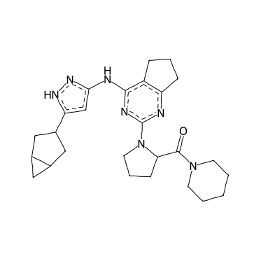 O=C(C1CCCN1c1nc2c(c(Nc3cc(C4CC5CC5C4)[nH]n3)n1)CCC2)N1CCCCC1